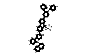 CC1(C)c2cc(-c3ccc4c(c3)c3ccccc3n4-c3ccccc3)ccc2-c2ccc(-c3ccc4c(c3)c3ccccc3n4-c3cccc4ccccc34)cc21